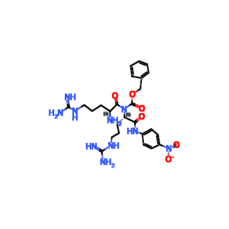 N=C(N)NCCC[C@H](N)C(=O)N(C(=O)OCc1ccccc1)[C@@H](CCCNC(=N)N)C(=O)Nc1ccc([N+](=O)[O-])cc1